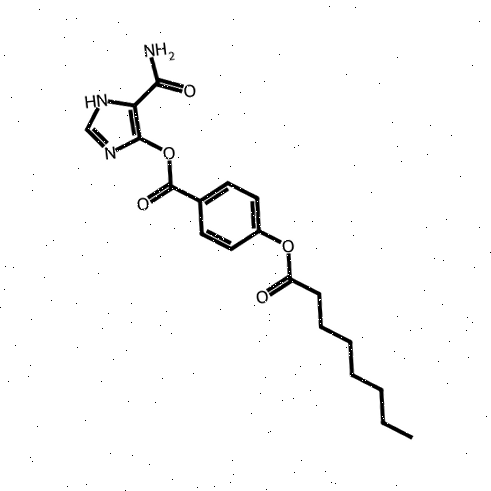 CCCCCCCC(=O)Oc1ccc(C(=O)Oc2nc[nH]c2C(N)=O)cc1